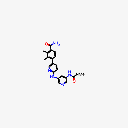 CNC(=O)Nc1cncc(Nc2ccc(-c3ccc(C(N)=O)c(C)c3C)cn2)c1